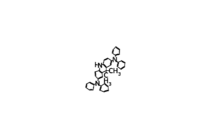 CC1(C)c2cc(N(c3ccccc3)c3ccccc3)ccc2N(I)c2ccc(N(c3ccccc3)c3ccccc3)cc21